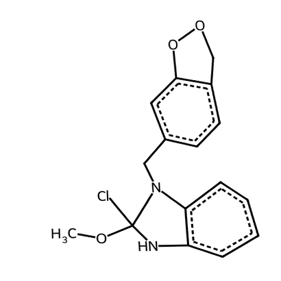 COC1(Cl)Nc2ccccc2N1Cc1ccc2c(c1)OOC2